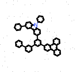 c1ccc(-c2cccc(-c3cc(-c4ccc5c6ccccc6c6ccccc6c5c4)cc(-c4ccc5c(c4)c4cc(-c6ccccc6)ccc4n5-c4ccccc4)c3)c2)cc1